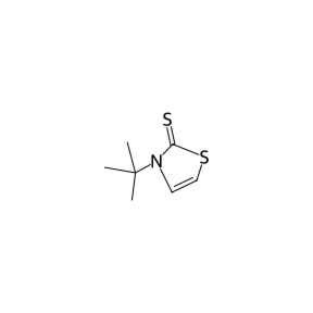 CC(C)(C)n1ccsc1=S